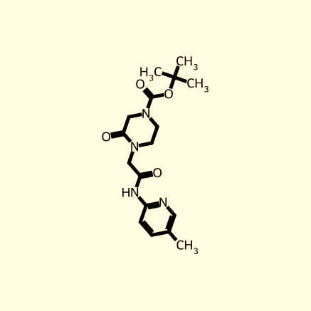 Cc1ccc(NC(=O)CN2CCN(C(=O)OC(C)(C)C)CC2=O)nc1